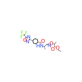 CCOC(=O)C(C)ON=CC(C)NC(=O)c1ccc(-c2noc(C(F)(F)F)n2)cc1